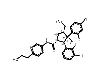 CC(C)(C)C[C@@H]1N[C@@H](C(=O)Nc2cnc(CCO)cn2)[C@H](c2cccc(Cl)c2F)[C@@]1(N)c1ccc(Cl)cc1F